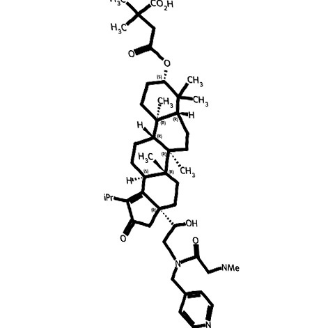 CNCC(=O)N(Cc1ccncc1)CC(O)[C@@]12CC[C@]3(C)[C@H](CC[C@@H]4[C@@]5(C)CC[C@H](OC(=O)CC(C)(C)C(=O)O)C(C)(C)[C@@H]5CC[C@]43C)C1=C(C(C)C)C(=O)C2